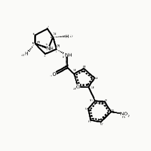 O=C(N[C@@H]1C[C@H]2CC[C@@H]1N2)c1ccc(-c2cccc([N+](=O)[O-])c2)o1